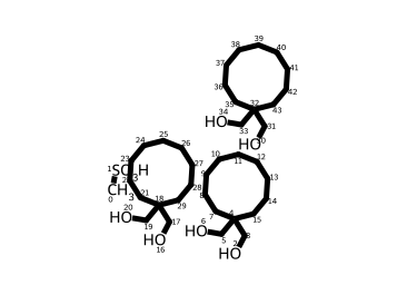 CS(=O)(=O)O.OCC1(CO)CCCCCCCCC1.OCC1(CO)CCCCCCCCC1.OCC1(CO)CCCCCCCCC1